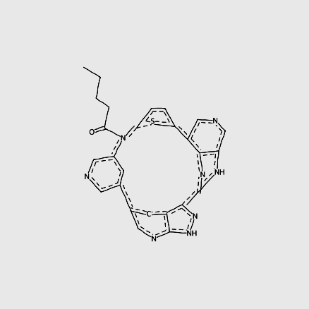 CCCCC(=O)n1c2cncc(c2)c2cnc3[nH]nc(c4nc5c(cncc5c5ccc1s5)[nH]4)c3c2